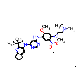 COc1cc(N(C)CCN(C)C)c([N+](=O)[O-])cc1Nc1cc(N2CC(C)(C)c3nc4c(cc32)CCC4)ncn1